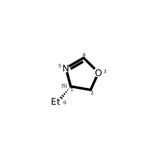 CC[C@H]1COC=N1